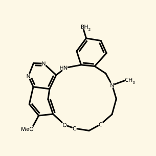 Bc1ccc2c(c1)Nc1ncnc3cc(OC)c(cc13)OCCCCCN(C)C2